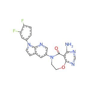 Nc1ncnc2c1C(=O)N(c1cnc3c(ccn3-c3ccc(F)c(F)c3)c1)CCO2